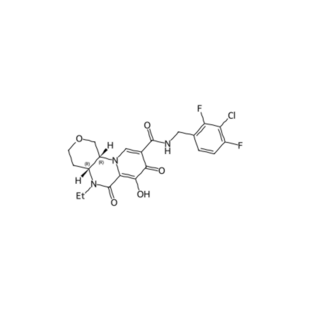 CCN1C(=O)c2c(O)c(=O)c(C(=O)NCc3ccc(F)c(Cl)c3F)cn2[C@H]2COCC[C@H]21